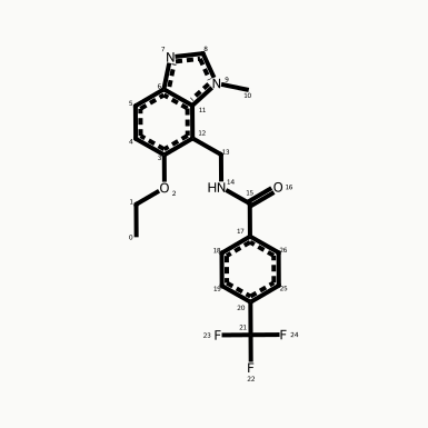 CCOc1ccc2ncn(C)c2c1CNC(=O)c1ccc(C(F)(F)F)cc1